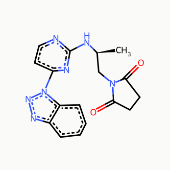 C[C@@H](CN1C(=O)CCC1=O)Nc1nccc(-n2nnc3ccccc32)n1